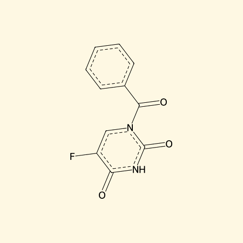 O=C(c1ccccc1)n1cc(F)c(=O)[nH]c1=O